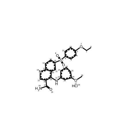 CCOc1ccc(S(=O)(=O)c2ccc3ncc(C(N)=O)c(Nc4cccc(OC)c4)c3c2)cc1.Cl